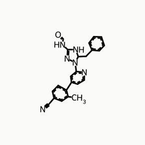 Cc1cc(C#N)ccc1-c1ccnc(N2N=C(NC=O)NC2Cc2ccccc2)c1